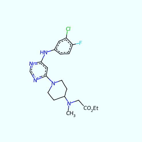 CCOC(=O)CN(C)C1CCN(c2cc(Nc3ccc(F)c(Cl)c3)ncn2)CC1